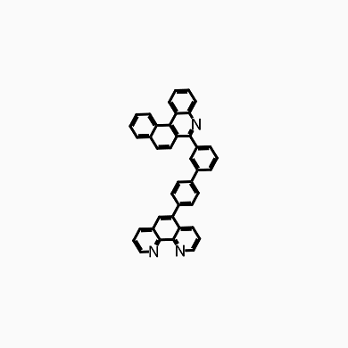 c1cc(-c2ccc(-c3cc4cccnc4c4ncccc34)cc2)cc(-c2nc3ccccc3c3c2ccc2ccccc23)c1